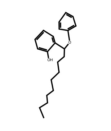 CCCCCCCCCC(Oc1ccccc1)c1ccccc1O